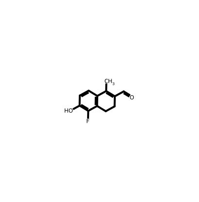 CC1=C(C=O)CCc2c1ccc(O)c2F